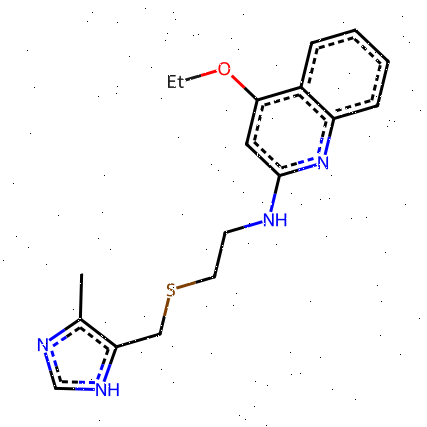 CCOc1cc(NCCSCc2[nH]cnc2C)nc2ccccc12